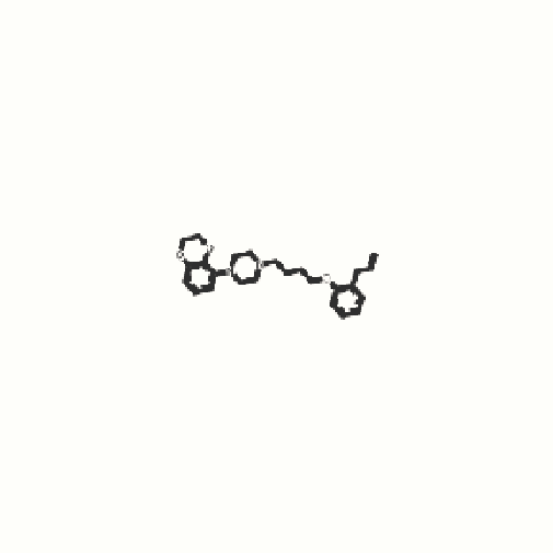 C=CCc1ccccc1OCCCCN1CCN(c2cccc3c2OCCO3)CC1